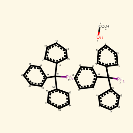 O=C(O)O.PC(c1ccccc1)(c1ccccc1)c1ccccc1.PC(c1ccccc1)(c1ccccc1)c1ccccc1